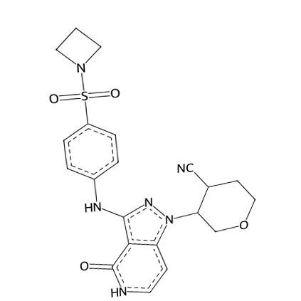 N#CC1CCOCC1n1nc(Nc2ccc(S(=O)(=O)N3CCC3)cc2)c2c(=O)[nH]ccc21